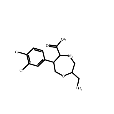 CCC1CNC(C(=O)O)C(c2ccc(Cl)c(Cl)c2)CO1